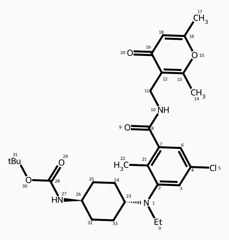 CCN(c1cc(Cl)cc(C(=O)NCc2c(C)oc(C)cc2=O)c1C)[C@H]1CC[C@H](NC(=O)OC(C)(C)C)CC1